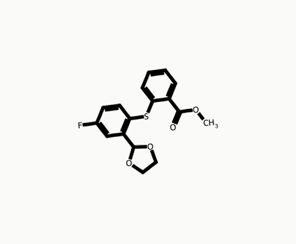 COC(=O)c1ccccc1Sc1ccc(F)cc1C1OCCO1